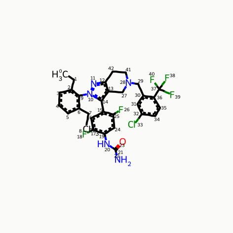 CCc1cccc(CC)c1-n1nc2c(c1-c1cc(F)c(NC(N)=O)cc1F)CN(Cc1cc(Cl)ccc1C(F)(F)F)CC2